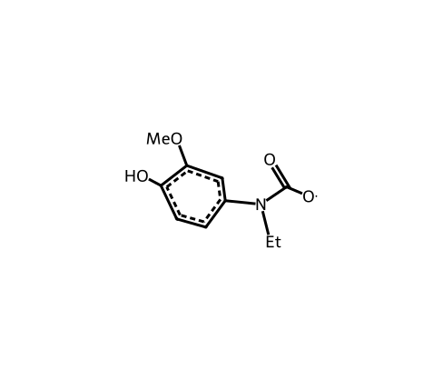 CCN(C([O])=O)c1ccc(O)c(OC)c1